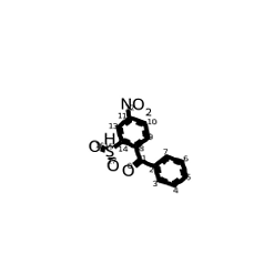 O=C(c1ccccc1)c1ccc([N+](=O)[O-])cc1[SH](=O)=O